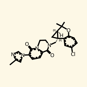 Cc1cn(-c2ccc3n(c2=O)CCN(C[C@]24C[C@H]2C(C)(C)Oc2ccc(Cl)cc24)C3=O)cn1